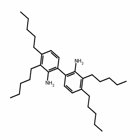 CCCCCc1ccc(-c2ccc(CCCCC)c(CCCCC)c2N)c(N)c1CCCCC